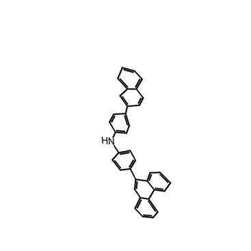 c1ccc2cc(-c3ccc(Nc4ccc(-c5cc6ccccc6c6ccccc56)cc4)cc3)ccc2c1